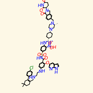 C[C@@H]1CN([C@H]2CC[C@@H](CNc3ccc(S(=O)(=O)NC(=O)c4ccc(NCCNCC5=C(c6ccc(Cl)cc6)CC(C)(C)CC5)cc4Oc4cnc5[nH]ccc5c4)cc3[NH+]([O-])O)CC2)CCN1Cc1ccc2c(c1)CN(C1CCC(=O)NC1=O)C2=O